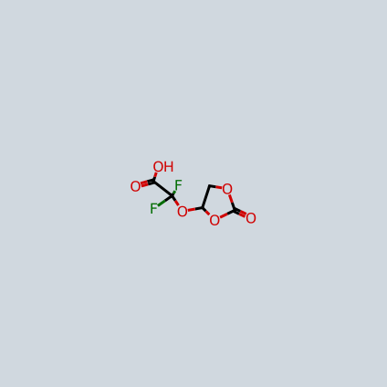 O=C1OCC(OC(F)(F)C(=O)O)O1